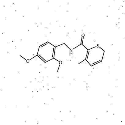 COc1ccc(CNC(=O)C2=C(C)C=CCS2)c(OC)c1